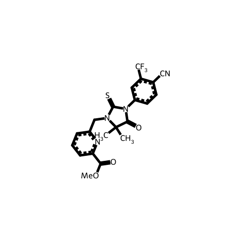 COC(=O)c1cccc(CN2C(=S)N(c3ccc(C#N)c(C(F)(F)F)c3)C(=O)C2(C)C)n1